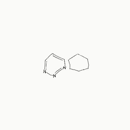 C1CCCCC1.c1cnnnc1